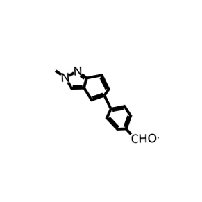 Cn1cc2cc(-c3ccc([C]=O)cc3)ccc2n1